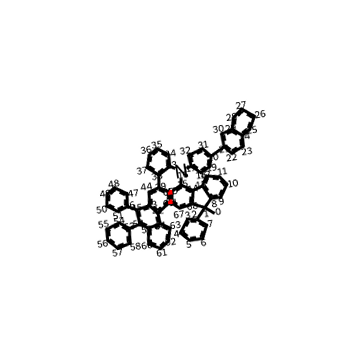 CC1(c2ccccc2)c2ccccc2-c2c(N(c3ccc(-c4ccc5ccccc5c4)cc3)c3ccccc3-c3ccc4c(c3)c(-c3ccccc3)c(-c3ccccc3)c3ccccc34)cccc21